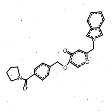 O=C(c1ccc(COc2coc(Cn3cc4ccccc4c3)cc2=O)cc1)N1CCCC1